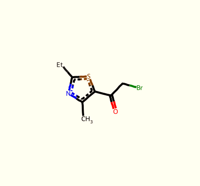 CCc1nc(C)c(C(=O)CBr)s1